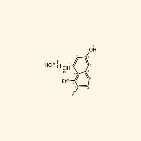 CCc1c(F)ccc2cc(O)ccc12.Cl.Cl.Cl